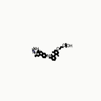 C=C(CC1c2ccc(NCc3cccc(-c4c(C)cc(OCCCOC(C)(C)O)cc4C)c3C)cc2CC12CC2)N/N=N\N